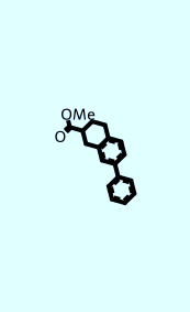 COC(=O)C1CCc2ccc(-c3ccccc3)cc2C1